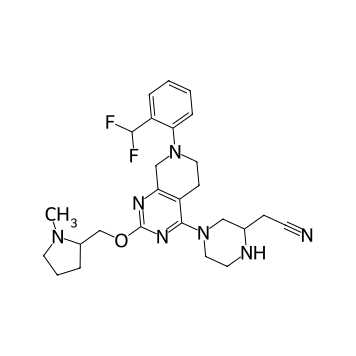 CN1CCCC1COc1nc2c(c(N3CCNC(CC#N)C3)n1)CCN(c1ccccc1C(F)F)C2